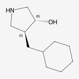 O[C@H]1CNC[C@@H]1CC1CCCCC1